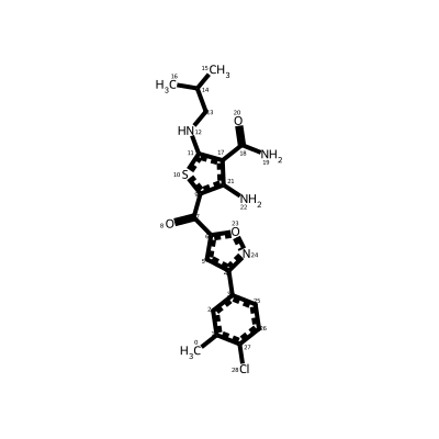 Cc1cc(-c2cc(C(=O)c3sc(NCC(C)C)c(C(N)=O)c3N)on2)ccc1Cl